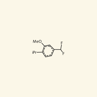 COc1cc(C(F)F)ccc1C(C)C